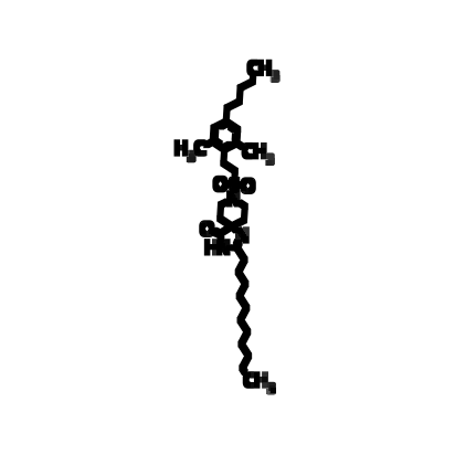 CCCCCCCCCCCC1=NC2(CCN(S(=O)(=O)CCc3c(C)cc(CCCCC)cc3C)CC2)C(=O)N1